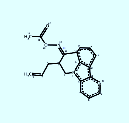 C=CCC1Cn2c3cccnc3c3cccc(c32)/C1=N/OC(C)=O